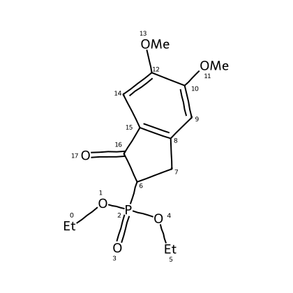 CCOP(=O)(OCC)C1Cc2cc(OC)c(OC)cc2C1=O